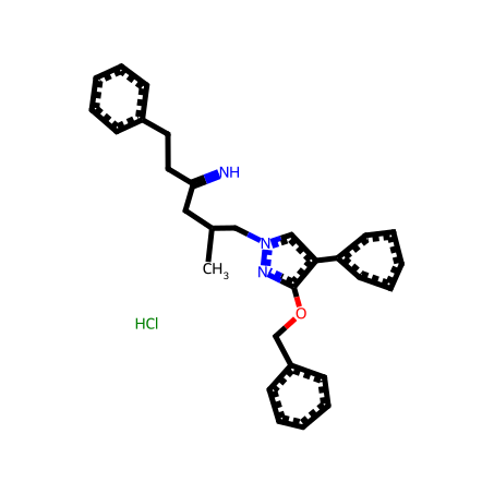 CC(CC(=N)CCc1ccccc1)Cn1cc(-c2ccccc2)c(OCc2ccccc2)n1.Cl